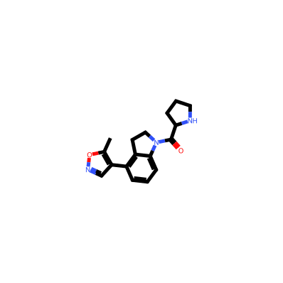 Cc1oncc1-c1cccc2c1CCN2C(=O)C1CCCN1